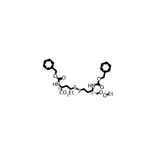 CCOOC[C@H](CCSSCC[C@H](NC(=O)OCc1ccccc1)C(=O)OCC)NC(=O)OCc1ccccc1